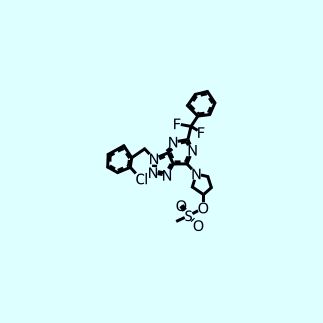 CS(=O)(=O)OC1CCN(c2nc(C(F)(F)c3ccccc3)nc3c2nnn3Cc2ccccc2Cl)C1